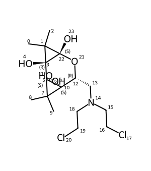 CC1(C)[C@@]2(O)[C@]3(O)C(C)(C)[C@]3(O)[C@@H](CN(CCCl)CCCl)O[C@@]12O